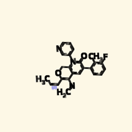 C=NC1=C(/C=C\C)OCc2c1cc(-c1cccc(F)c1C)c(=O)n2-c1cccnc1